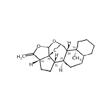 C=C1OC2OC3C[C@@]24[C@@H]1CC[C@H]4[C@@H]1CCC2CCCC[C@]2(C)[C@@H]31